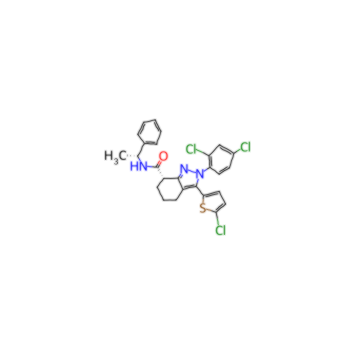 C[C@@H](NC(=O)[C@H]1CCCc2c1nn(-c1ccc(Cl)cc1Cl)c2-c1ccc(Cl)s1)c1ccccc1